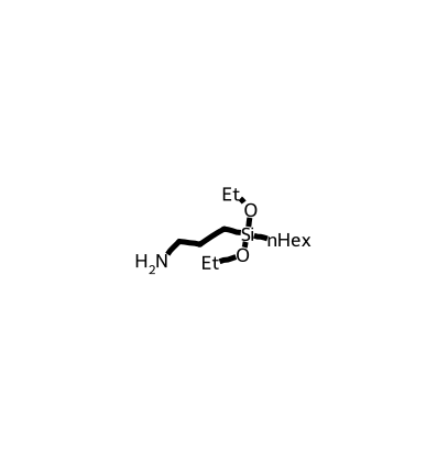 CCCCCC[Si](CCCN)(OCC)OCC